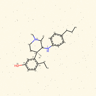 CCCc1ccc(NC2C(C)N(C)CC[C@]2(C)c2cc(O)ccc2CC)cc1